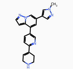 Cn1cc(-c2cc(-c3ccc(C4=CCNCC4)nc3)c3ccnn3c2)cn1